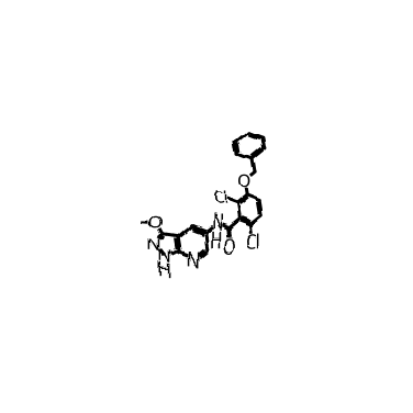 COc1n[nH]c2ncc(NC(=O)c3c(Cl)ccc(OCc4ccccc4)c3Cl)cc12